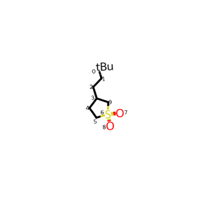 CC(C)(C)CCC1CCS(=O)(=O)C1